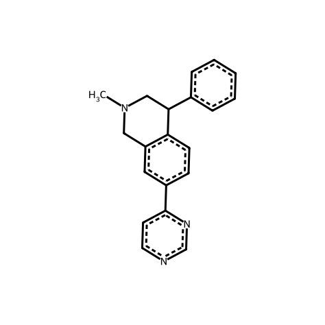 CN1Cc2cc(-c3ccncn3)ccc2C(c2ccccc2)C1